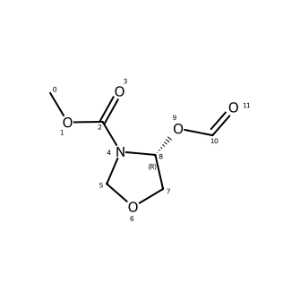 COC(=O)N1COC[C@H]1OC=O